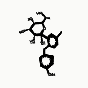 COc1ccc(Cc2ccc(C)cc2[C@@]2(O)O[C@H]([C@H](C)O)[C@@H](O)[C@H](O)[C@H]2O)cc1